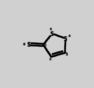 S=c1c[c]ss1